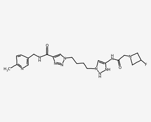 Cc1ccc(CNC(=O)c2cn(CCCCN3C=C(NC(=O)CN4CC(F)C4)NN3)nn2)cn1